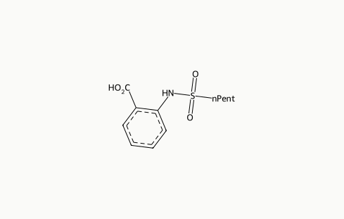 CCCCCS(=O)(=O)Nc1ccccc1C(=O)O